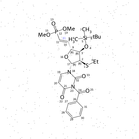 CCS[C@@H]1[C@H](O[Si](C)(C)C(C)(C)C)[C@@H](/C=C/P(=O)(OC)OC)O[C@H]1n1ccc(=O)n(C(=O)c2ccccc2)c1=O